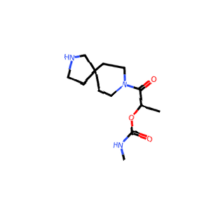 CNC(=O)OC(C)C(=O)N1CCC2(CCNC2)CC1